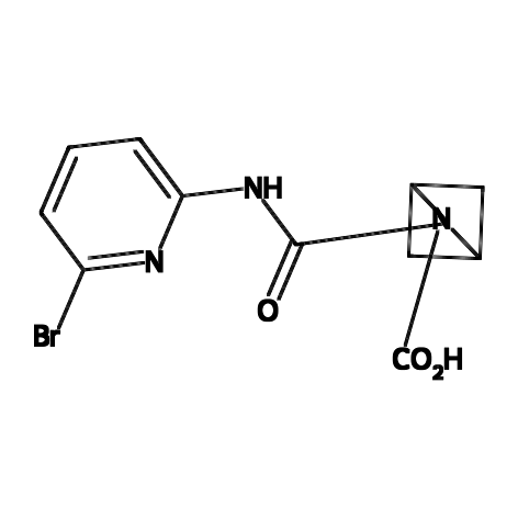 O=C(Nc1cccc(Br)n1)C1C2CC(C2)N1C(=O)O